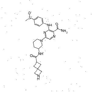 C[S+]([O-])c1ccc(Nc2nc(N3CCCC(NC(=O)C4CC5(CNC5)C4)C3)cnc2C(N)=O)cc1